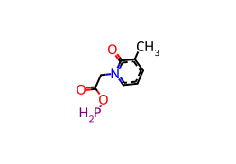 Cc1cccn(CC(=O)OP)c1=O